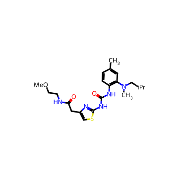 COCCNC(=O)Cc1csc(NC(=O)Nc2ccc(C)cc2N(C)CC(C)C)n1